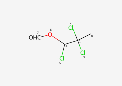 CC(Cl)(Cl)C(Cl)OC=O